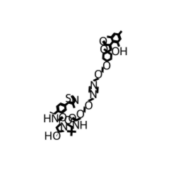 Cc1cc(C)c(C2=C(O)C3(CCC(OCCOCCN4CCN(CCOCCOCC(=O)N[C@H](C(=O)N5C[C@H](O)C[C@H]5C(=O)N[C@@H](C)c5ccc(-c6scnc6C)cc5)C(C)(C)C)CC4)CC3)OC2=O)c(C)c1